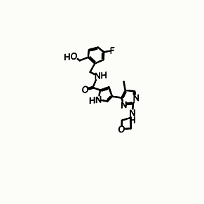 Cc1cnc(NC2COC2)nc1-c1c[nH]c(C(=O)NCc2cc(F)ccc2CO)c1